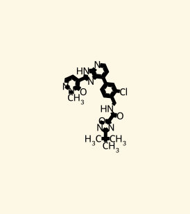 Cn1nccc(-c2nc3c(-c4ccc(CNC(=O)c5nc(C(C)(C)C)no5)c(Cl)c4)ccnc3[nH]2)c1=O